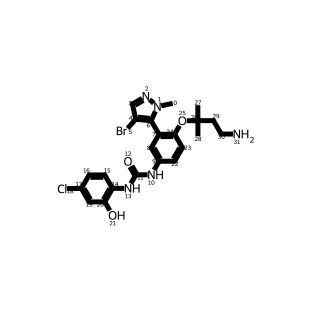 Cn1ncc(Br)c1-c1cc(NC(=O)Nc2ccc(Cl)cc2O)ccc1OC(C)(C)CCN